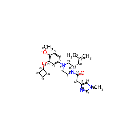 COc1ccc(N2CCN(C(=O)Cc3cn(C)cn3)[C@@H](CC(C)C)C2)cc1OC1CCC1